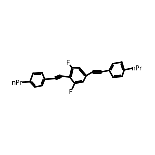 CCCc1ccc(C#Cc2cc(F)c(C#Cc3ccc(CCC)cc3)c(F)c2)cc1